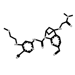 COCCNc1cc(NC(=O)N2c3nc(C=O)ccc3C3(NCC(=O)N(C)C)CC2C3)ncc1C#N